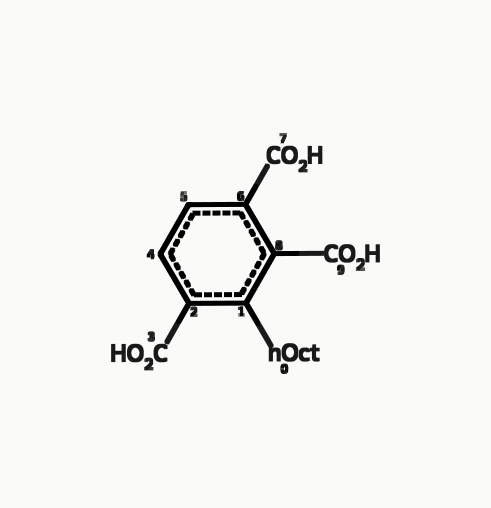 CCCCCCCCc1c(C(=O)O)ccc(C(=O)O)c1C(=O)O